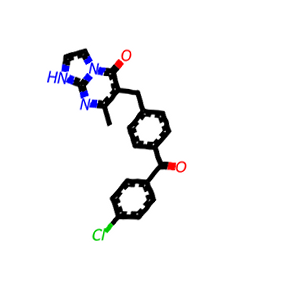 Cc1nc2[nH]ccn2c(=O)c1Cc1ccc(C(=O)c2ccc(Cl)cc2)cc1